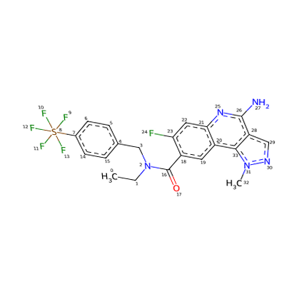 CCN(Cc1ccc(S(F)(F)(F)(F)F)cc1)C(=O)c1cc2c(cc1F)nc(N)c1cnn(C)c12